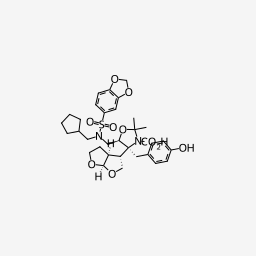 CC1(C)O[C@H](CN(CC2CCCC2)S(=O)(=O)c2ccc3c(c2)OCO3)[C@](Cc2ccc(O)cc2)([C@@H]2CO[C@H]3OCC[C@H]32)N1C(=O)O